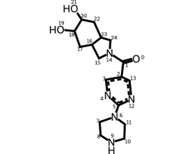 O=C(c1cnc(N2CCNCC2)nc1)N1CC2CC(O)C(O)CC2C1